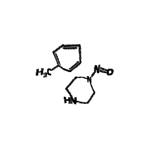 Cc1ccccc1.O=NN1CCNCC1